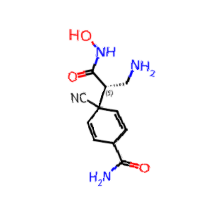 N#CC1([C@@H](CN)C(=O)NO)C=CC(C(N)=O)C=C1